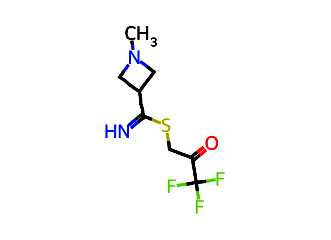 CN1CC(C(=N)SCC(=O)C(F)(F)F)C1